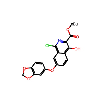 CCCCOC(=O)c1nc(Cl)c2cc(Oc3ccc4c(c3)OCO4)ccc2c1O